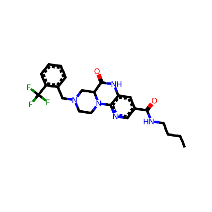 CCCCNC(=O)c1cnc2c(c1)NC(=O)C1CN(Cc3ccccc3C(F)(F)F)CCN21